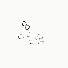 NC(=O)C(=O)C1(NC(=O)[C@@H]2CC(=O)CN2C(=O)C(CC2CCCCC2)NC(=O)c2ccc3ccccc3c2)CCOCC1